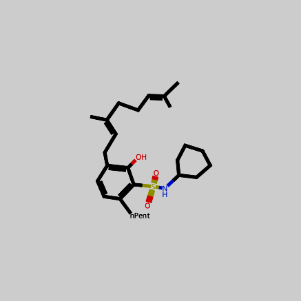 CCCCCc1ccc(C/C=C(\C)CCC=C(C)C)c(O)c1S(=O)(=O)NC1CCCCC1